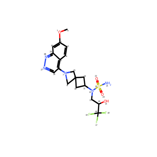 COc1ccc2c(N3CC4(CC(N(CC(O)C(F)(F)F)S(N)(=O)=O)C4)C3)cnnc2c1